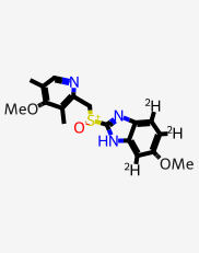 [2H]c1c(OC)c([2H])c2[nH]c([S+]([O-])Cc3ncc(C)c(OC)c3C)nc2c1[2H]